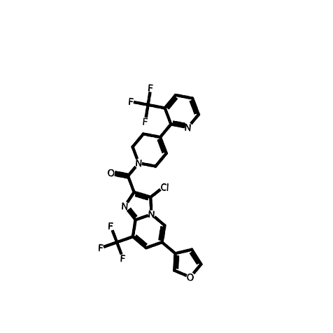 O=C(c1nc2c(C(F)(F)F)cc(-c3ccoc3)cn2c1Cl)N1CC=C(c2ncccc2C(F)(F)F)CC1